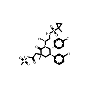 CC[C@@H](CNS(=O)(=O)C1(C)CC1)N1C(=O)[C@@](C)(CC(=O)NS(C)(=O)=O)C[C@H](c2cccc(Cl)c2)[C@H]1c1ccc(Cl)cc1